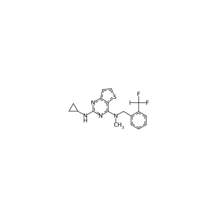 CN(Cc1ccccc1C(F)(F)I)c1nc(NC2CC2)nc2ccsc12